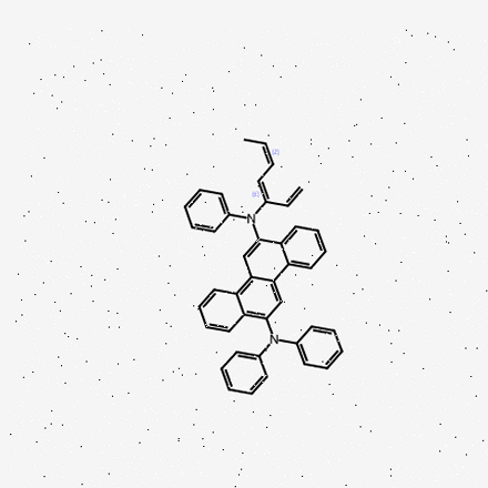 C=C/C(=C\C=C/C)N(c1ccccc1)c1cc2c3ccccc3c(N(c3ccccc3)c3ccccc3)cc2c2ccccc12